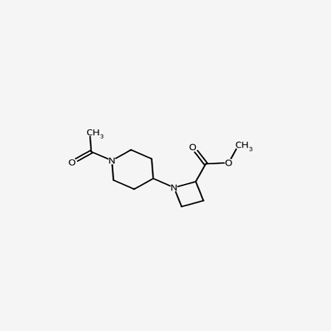 COC(=O)C1CCN1C1CCN(C(C)=O)CC1